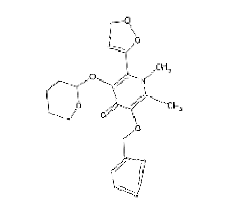 Cc1c(OCc2ccccc2)c(=O)c(OC2CCCCO2)c(C2=CCOO2)n1C